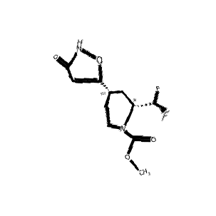 COC(=O)N1CC[C@H](c2cc(=O)[nH]o2)C[C@@H]1C(F)F